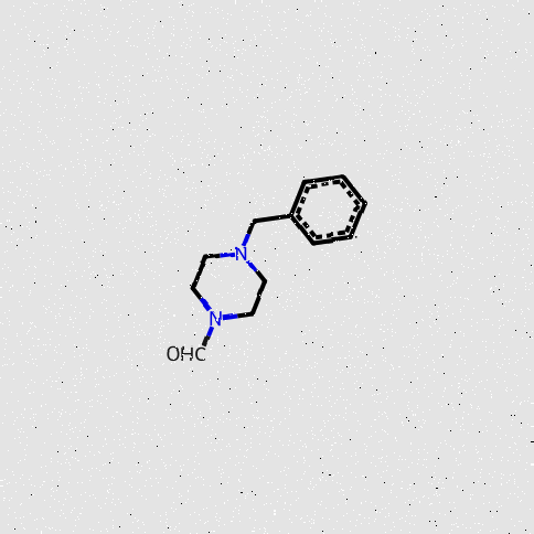 O=CN1CCN(Cc2c[c]ccc2)CC1